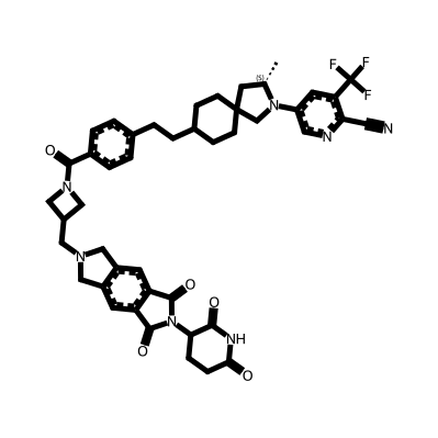 C[C@H]1CC2(CCC(CCc3ccc(C(=O)N4CC(CN5Cc6cc7c(cc6C5)C(=O)N(C5CCC(=O)NC5=O)C7=O)C4)cc3)CC2)CN1c1cnc(C#N)c(C(F)(F)F)c1